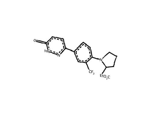 CCOC(=O)C1CCCN1c1ccc(-c2ccc(=O)[nH]n2)cc1C(F)(F)F